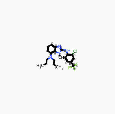 CCCN(CCC)c1cccc2nc(Nc3ccc(C(F)(F)F)cc3Cl)n(C)c12